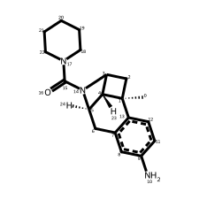 C[C@@]12CC3[C@H]1[C@@H](Cc1cc(N)ccc12)N3C(=O)N1CCCCC1